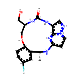 C[C@H]1Nc2ccn3ncc(c3n2)NC(=O)NC(CO)COc2ccc(F)cc21